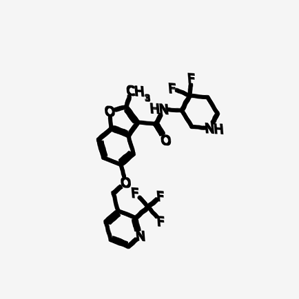 Cc1oc2ccc(OCc3cccnc3C(F)(F)F)cc2c1C(=O)NC1CNCCC1(F)F